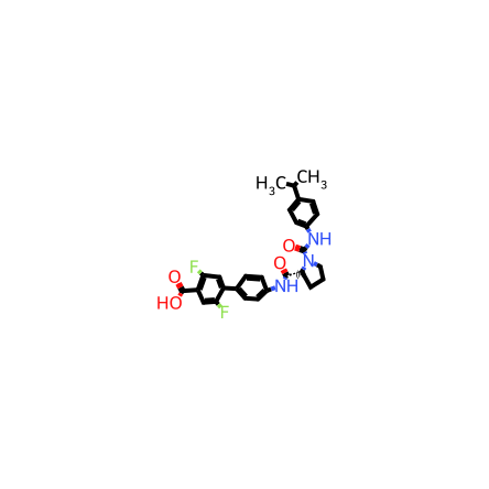 CC(C)c1ccc(NC(=O)N2CCC[C@@H]2C(=O)Nc2ccc(-c3cc(F)c(C(=O)O)cc3F)cc2)cc1